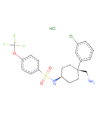 Cl.NC[C@]1(c2cccc(Cl)c2)CC[C@H](NS(=O)(=O)c2ccc(OC(F)(F)F)cc2)CC1